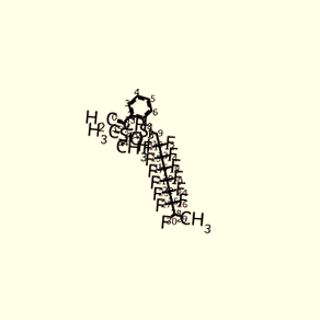 C=Cc1ccccc1[SiH](CC(F)(F)C(F)(F)C(F)(F)C(F)(F)C(F)(F)C(F)(F)C(C)F)O[Si](C)(C)C